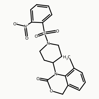 Cc1cccc2c1N(C1CCN(S(=O)(=O)c3ccccc3[N+](=O)[O-])CC1)C(=O)OC2